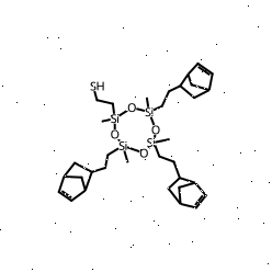 C[Si]1(CCS)O[Si](C)(CCC2CC3C=CC2C3)O[Si](C)(CCC2CC3C=CC2C3)O[Si](C)(CCC2CC3C=CC2C3)O1